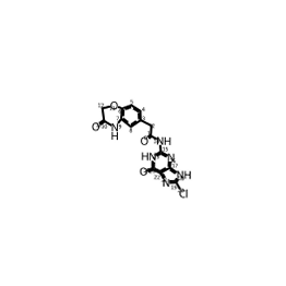 O=C(Cc1ccc2c(c1)NC(=O)CO2)Nc1nc2[nH]c(Cl)nc2c(=O)[nH]1